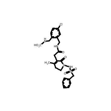 CC1=C(CC(=O)NCc2cc(Cl)ccc2CNC(=O)O)C(=O)N(NS(=O)(=O)Cc2ccccc2)CC1